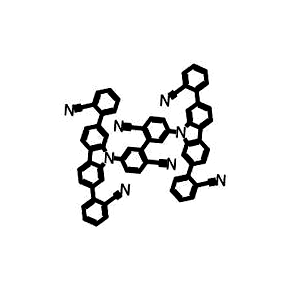 N#Cc1ccccc1-c1ccc2c3ccc(-c4ccccc4C#N)cc3n(-c3ccc(C#N)c(-c4cc(-n5c6cc(-c7ccccc7C#N)ccc6c6ccc(-c7ccccc7C#N)cc65)ccc4C#N)c3)c2c1